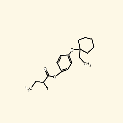 CCC(I)C(=O)Oc1ccc(OC2(CC)CCCCC2)cc1